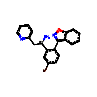 N[C@@H](Cc1ccccn1)c1cc(Br)ccc1-c1noc2ccccc12